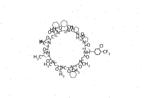 C=CC[C@@H]1NC(=O)[C@H](CC(C)C)N(C)C(=O)C[C@@H](C(=O)N2CCCCC2)N(C)C(=O)[C@H](C2CCCCC2)N(C)C(=O)C2(CCCC2)NC(=O)[C@@H]2CCCN2C(=O)[C@H](CCc2ccc(C(F)(F)F)c(Cl)c2)NC(=O)CN(C)C(=O)[C@H](CC2CCCCC2)N(C)C(=O)CN(C)C(=O)CN(C)C1=O